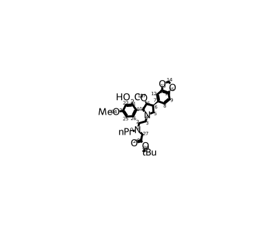 CCCN(CCN1C[C@H](c2ccc3c(c2)OCO3)[C@H](OC(=O)O)[C@H]1c1ccc(OC)cc1)CC(=O)OC(C)(C)C